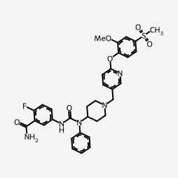 COc1cc(S(C)(=O)=O)ccc1Oc1ccc(CN2CCC(N(C(=O)Nc3ccc(F)c(C(N)=O)c3)c3ccccc3)CC2)cn1